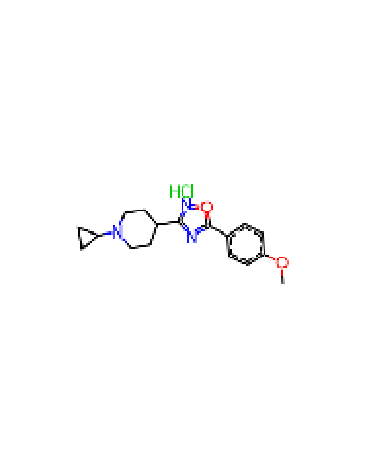 COc1ccc(-c2nc(C3CCN(C4CC4)CC3)no2)cc1.Cl